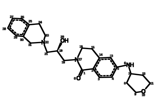 O=C1c2ccc(NC3CCOCC3)cc2CCN1C[C@H](O)CN1CCc2ccccc2C1